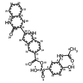 CC(=O)Nc1cc([As](=O)(O)OC(=O)c2ccc3[nH]c(-c4nc5ccccc5[nH]c4=O)cc3c2)ccc1O